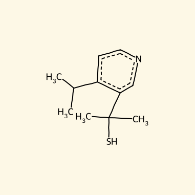 CC(C)c1ccncc1C(C)(C)S